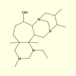 CCN1CN(C)CC2(C)CCC(O)C3C(CN4CN3CC(C)C4C)C12C